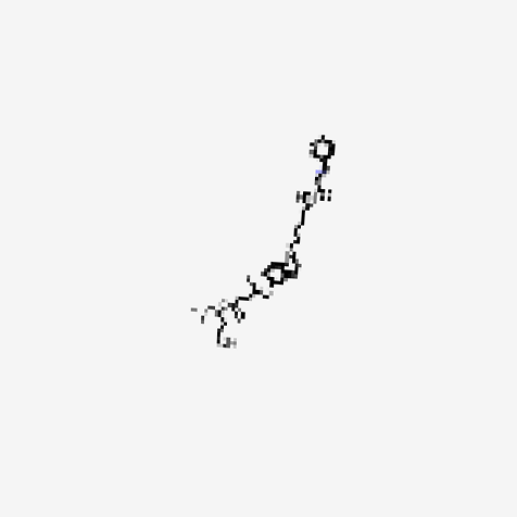 CC(CCO)OC(=O)CCC(=O)Oc1ccc2c(ccn2CCCCCCNC(=O)/C=C/c2cccnc2)c1